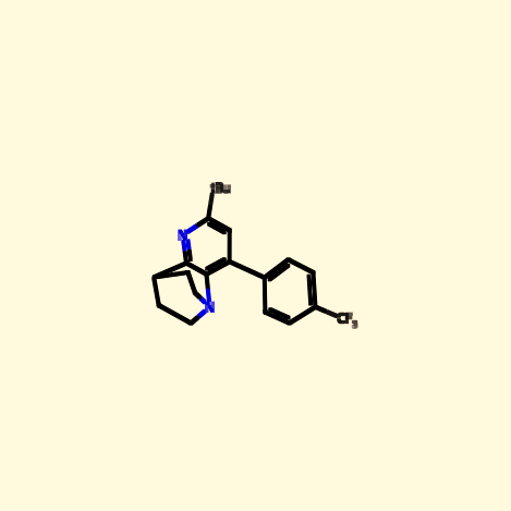 CC(C)(C)c1cc(-c2ccc(C(F)(F)F)cc2)c2c(n1)C1CCN2CC1